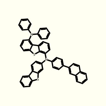 c1ccc(N(c2ccccc2)c2cccc3sc4c(N(c5ccc(-c6ccc7ccccc7c6)cc5)c5ccc6c(c5)sc5ccccc56)cccc4c23)cc1